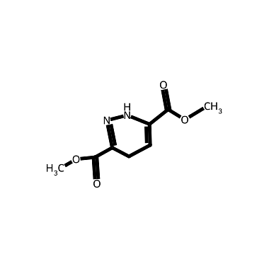 COC(=O)C1=CCC(C(=O)OC)=NN1